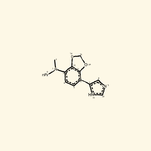 CCCN(C)c1ccc(-c2cnc[nH]2)c2c1OCO2